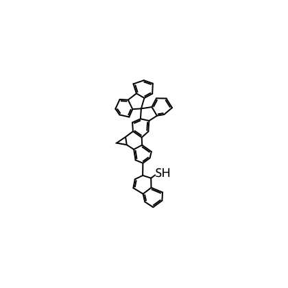 SC1c2ccccc2C=CC1c1ccc2c(c1)C1CC1c1cc3c(cc1-2)-c1ccccc1C31c2ccccc2-c2ccccc21